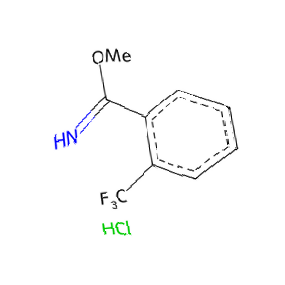 COC(=N)c1ccccc1C(F)(F)F.Cl